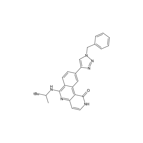 CC(Nc1nc2cc[nH]c(=O)c2c2cc(-c3cn(Cc4ccccc4)nn3)ccc12)C(C)(C)C